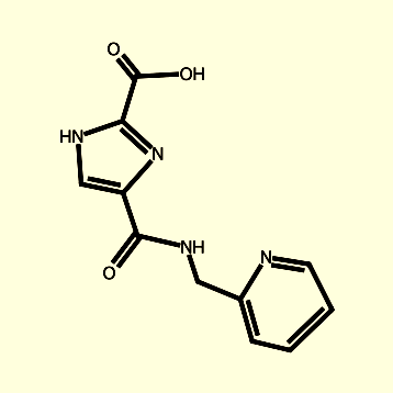 O=C(NCc1ccccn1)c1c[nH]c(C(=O)O)n1